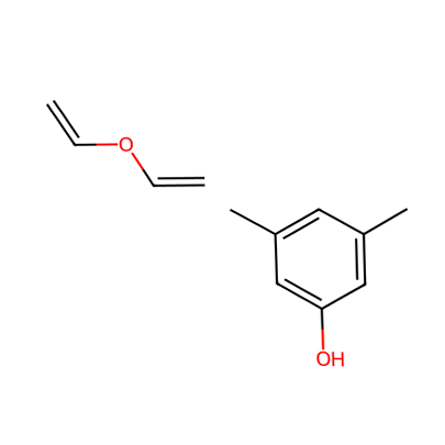 C=COC=C.Cc1cc(C)cc(O)c1